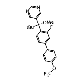 CO[C@](c1cncnc1)(c1ccc(-c2ccc(OC(F)(F)F)cc2)cc1F)C(C)(C)C